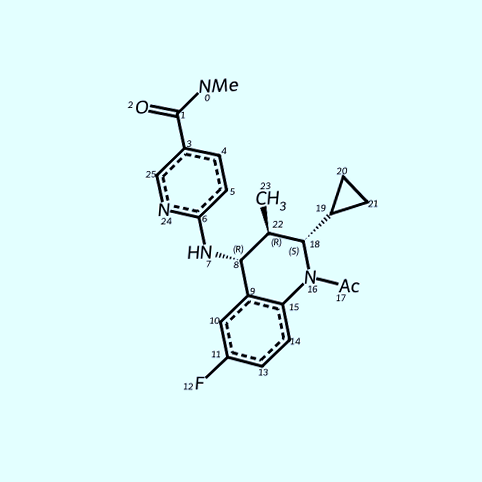 CNC(=O)c1ccc(N[C@H]2c3cc(F)ccc3N(C(C)=O)[C@@H](C3CC3)[C@@H]2C)nc1